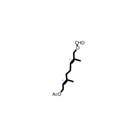 CC(=O)OC/C=C(\C)CC/C=C(\C)COC=O